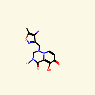 Cc1onc(CN2CN(C(C)C)C(=O)c3c(O)c(=O)ccn32)c1I